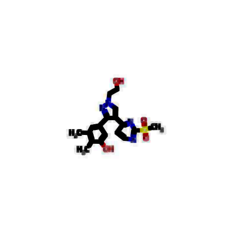 Cc1cc(-c2nn(CCO)cc2-c2ccnc(S(C)(=O)=O)n2)cc(O)c1C